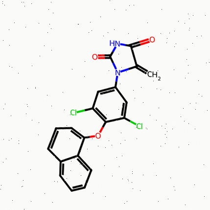 C=C1C(=O)NC(=O)N1c1cc(Cl)c(Oc2cccc3ccccc23)c(Cl)c1